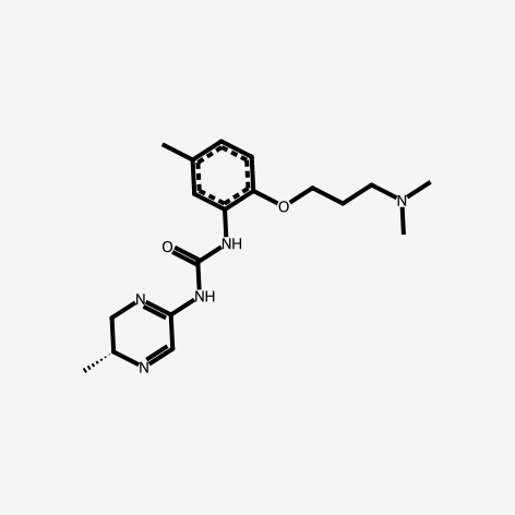 Cc1ccc(OCCCN(C)C)c(NC(=O)NC2=NC[C@@H](C)N=C2)c1